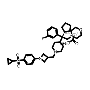 COC(=O)N[C@H]1CCC[C@@H]1C(CN1CCOCC1)(c1cccc(F)c1)C1CCN(CC2CN(c3ccc(S(=O)(=O)C4CC4)cc3)C2)CC1